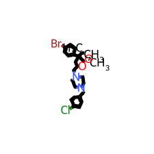 COC(=O)C(CCCN1CCN(Cc2ccc(Cl)cc2)CC1)(c1ccc(Br)cc1)C(C)C